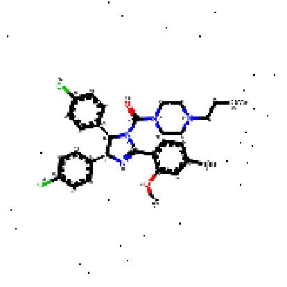 CCOc1cc(C(C)(C)C)ccc1C1=N[C@@H](c2ccc(Cl)cc2)[C@@H](c2ccc(Cl)cc2)N1C(=O)N1CCN(CCOC)CC1